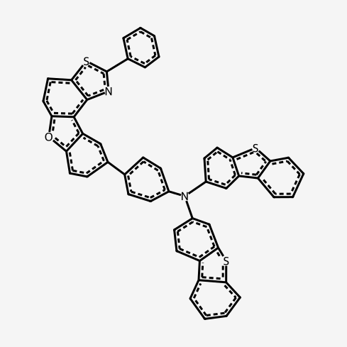 c1ccc(-c2nc3c(ccc4oc5ccc(-c6ccc(N(c7ccc8c(c7)sc7ccccc78)c7ccc8sc9ccccc9c8c7)cc6)cc5c43)s2)cc1